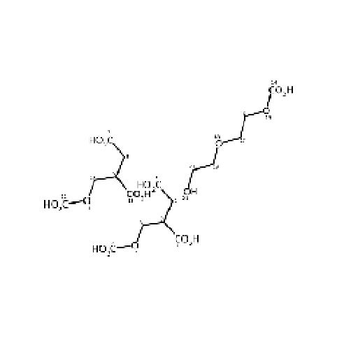 O=C(O)CC(COC(=O)O)C(=O)O.O=C(O)CC(COC(=O)O)C(=O)O.O=C(O)OCCOCCO